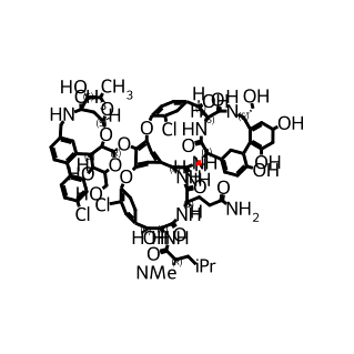 CN[C@H](CC(C)C)C(=O)N[C@H]1C(=O)N[C@@H](CCC(N)=O)C(=O)N[C@H]2C(=N)N[C@H]3C(=O)N[C@H](C(=O)N[C@H](CO)C4=CC(O)CC(O)=C4C4CC3=CC=C4O)[C@H](O)C3=CC=C(Oc4cc2cc(c4O[C@H]2OC(CO)C(O)[C@@H]4c5cc(ccc5-c5ccc(Cl)cc5)CNC5(C)C[C@H](OC24)OC(C)[C@H]5O)OC2=C(Cl)C=C(CC2)[C@H]1O)C(Cl)C3